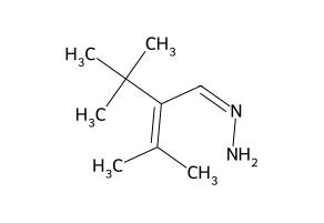 CC(C)=C(/C=N\N)C(C)(C)C